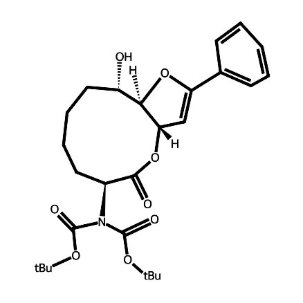 CC(C)(C)OC(=O)N(C(=O)OC(C)(C)C)[C@H]1CCCC[C@H](O)[C@H]2OC(c3ccccc3)=C[C@@H]2OC1=O